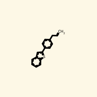 C=CCc1ccc(-c2cc3ccccc3s2)cc1